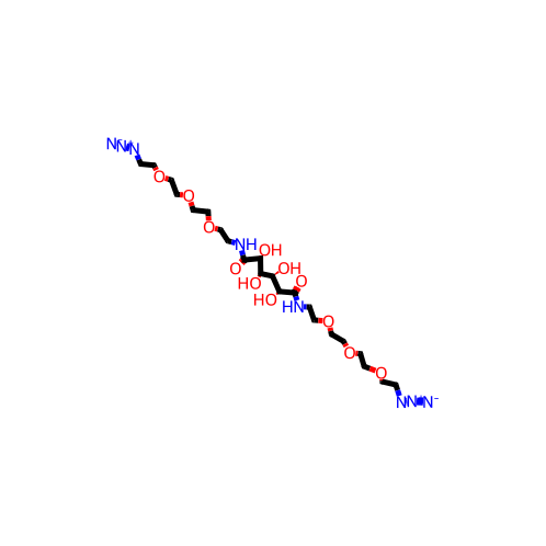 [N-]=[N+]=NCCOCCOCCOCCNC(=O)[C@@H](O)[C@H](O)[C@H](O)[C@@H](O)C(=O)NCCOCCOCCOCCN=[N+]=[N-]